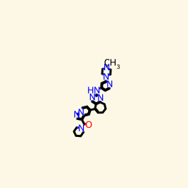 CN1CCN(c2cc(Nc3ncc4c(n3)CCCC=C4c3ccn4ncc(C(=O)N5CCCCC5)c4c3)ccn2)CC1